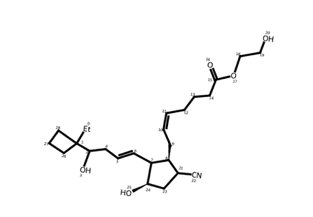 CCC1(C(O)C/C=C/C2[C@@H](C/C=C\CCCC(=O)OCCO)C(C#N)C[C@H]2O)CCC1